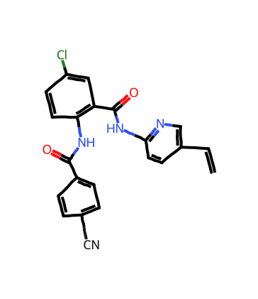 C=Cc1ccc(NC(=O)c2cc(Cl)ccc2NC(=O)c2ccc(C#N)cc2)nc1